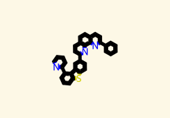 c1ccc(-c2ccc3ccc4ccc(-c5ccc6sc7cccc(-c8ccccn8)c7c6c5)nc4c3n2)cc1